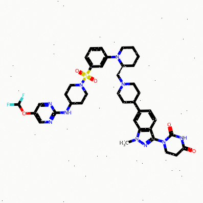 Cn1nc(N2CCC(=O)NC2=O)c2ccc(C3CCN(C[C@@H]4CCCCN4c4cccc(S(=O)(=O)N5CCC(Nc6ncc(OC(F)F)cn6)CC5)c4)CC3)cc21